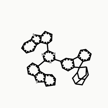 c1ccc2c(c1)-c1cc(-c3nc(-c4cccc5sc6ccccc6c45)nc(-c4cccc5sc6ccccc6c45)n3)ccc1C21C2CC3CC(C2)CC1C3